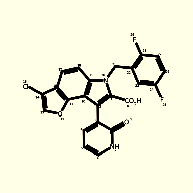 O=C(O)c1c(-c2ccc[nH]c2=O)c2c3occ(Cl)c3ccc2n1Cc1cc(F)ccc1F